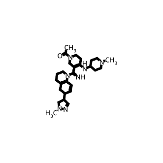 CC(=O)N1CCC(NC2CCN(C)CC2)=C(C(=N)N2CCCC3=C2C=CC(C2C=NN(C)C2)C3)C1